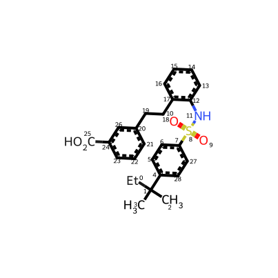 CCC(C)(C)c1ccc(S(=O)(=O)Nc2ccccc2CCc2cccc(C(=O)O)c2)cc1